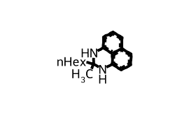 CCCCCCC1(C)Nc2cccc3cccc(c23)N1